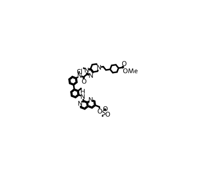 COC(=O)C1CCC(CCN2CCc3c(nc(C(=O)N(Cl)c4cccc(-c5cccc(Nc6nccc7cc(COS(C)(=O)=O)cnc67)c5C)c4)n3C)C2)CC1